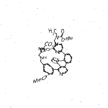 COc1cc(CNCC23CC(C(=O)O)(C2)C3)cc(-c2nccc(-c3cccc(-c4ccc(CN(C)C(=O)OC(C)(C)C)c(OC)n4)c3Cl)c2Cl)c1